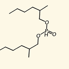 CCCCC(C)CO[PH](=O)OCC(C)CCCC